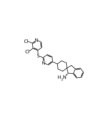 N[C@@H]1c2ccccc2CC12CCC(c1ccc(Sc3ccnc(Cl)c3Cl)nc1)CC2